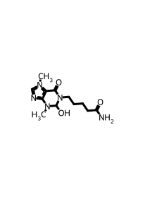 CN1c2ncn(C)c2C(=O)N(CCCCC(N)=O)C1O